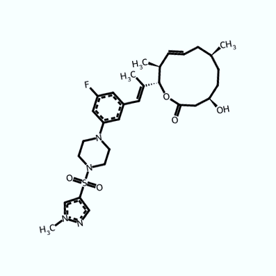 C/C(=C\c1cc(F)cc(N2CCN(S(=O)(=O)c3cnn(C)c3)CC2)c1)[C@H]1OC(=O)C[C@H](O)CC[C@H](C)C/C=C/[C@@H]1C